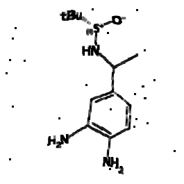 CC(N[S@@+]([O-])C(C)(C)C)c1ccc(N)c(N)c1